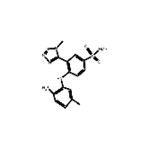 CNS(=O)(=O)c1ccc(Nc2cc(C)ccc2P)c(-c2nnnn2C)c1